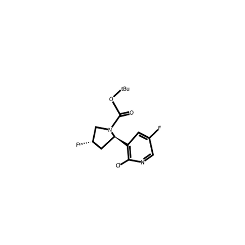 CC(C)(C)OC(=O)N1C[C@@H](F)C[C@@H]1c1cc(F)cnc1Cl